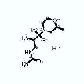 CCC(CC)(C(N)CNC(N)=O)N1CCOC(C)C1.I